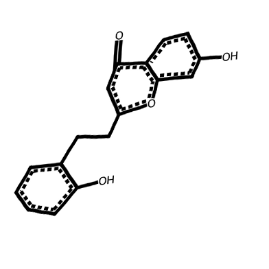 O=c1cc(CCc2ccccc2O)oc2cc(O)ccc12